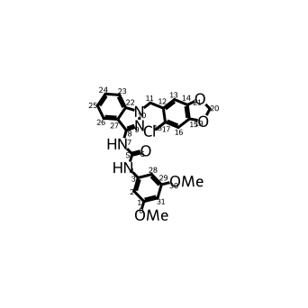 COc1cc(NC(=O)Nc2nn(Cc3cc4c(cc3Cl)OCO4)c3ccccc23)cc(OC)c1